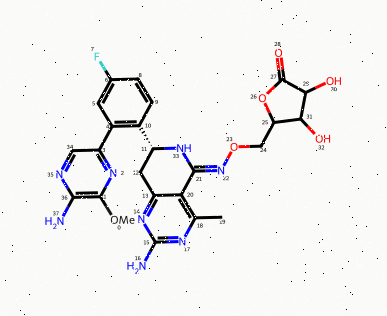 COc1nc(-c2cc(F)ccc2[C@H]2Cc3nc(N)nc(C)c3/C(=N/OCC3OC(=O)C(O)C3O)N2)cnc1N